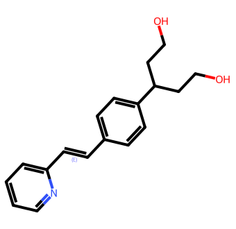 OCCC(CCO)c1ccc(/C=C/c2ccccn2)cc1